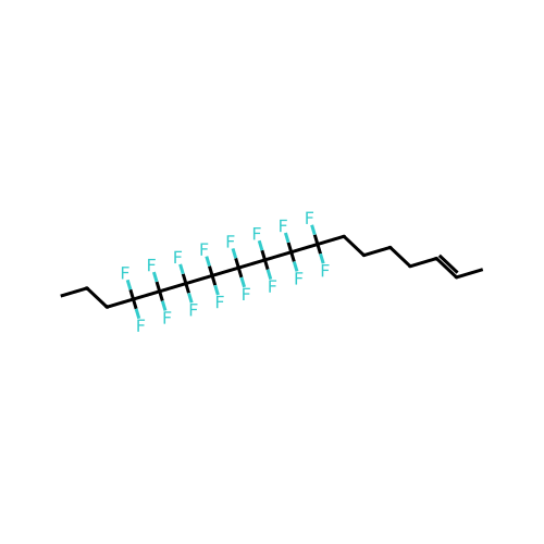 C/C=C/CCCCC(F)(F)C(F)(F)C(F)(F)C(F)(F)C(F)(F)C(F)(F)C(F)(F)C(F)(F)CCC